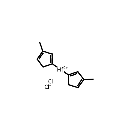 CC1=CC[C]([Hf+2][C]2=CC(C)=CC2)=C1.[Cl-].[Cl-]